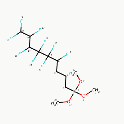 CO[Si](CCCC(F)C(F)(F)C(F)(F)C(F)C(F)C(F)F)(OC)OC